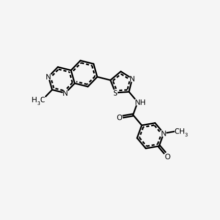 Cc1ncc2ccc(-c3cnc(NC(=O)c4ccc(=O)n(C)c4)s3)cc2n1